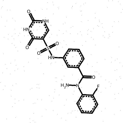 NN(C(=O)c1cccc(NS(=O)(=O)c2c[nH]c(=O)[nH]c2=O)c1)c1ccccc1F